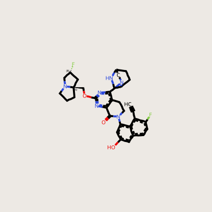 C#Cc1c(F)ccc2cc(O)cc(N3CCc4c(nc(OC[C@@]56CCCN5C[C@H](F)C6)nc4N4CC5CCC4CN5)C3=O)c12